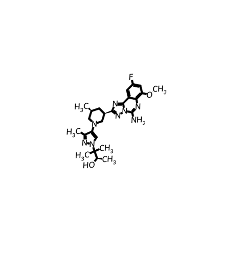 COc1cc(F)cc2c1nc(N)n1nc([C@@H]3C[C@H](C)CN(c4cn(C(C)(C)[C@@H](C)O)nc4C)C3)nc21